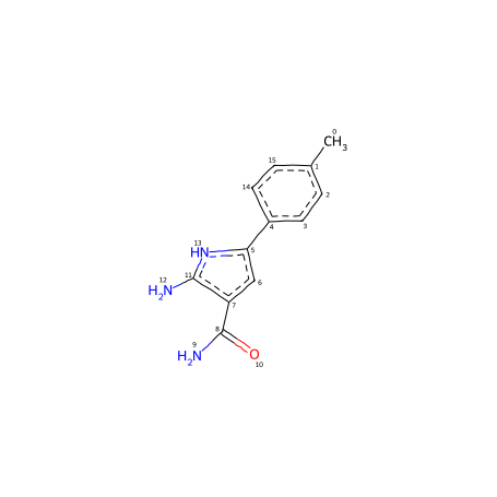 Cc1ccc(-c2cc(C(N)=O)c(N)[nH]2)cc1